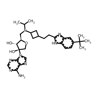 CC(C)N(C[C@H]1OC[C@](O)(n2cnc3c(N)ncnc32)[C@@H]1O)C1CC(CCc2nc3cc(C(C)(C)C)ccc3[nH]2)C1